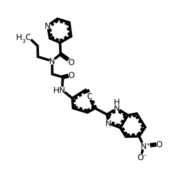 CCCN(CC(=O)Nc1ccc(-c2nc3cc([N+](=O)[O-])ccc3[nH]2)cc1)C(=O)c1cccnc1